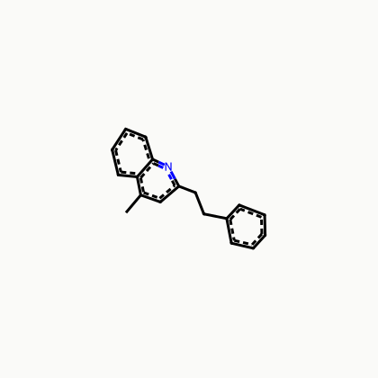 Cc1cc(CCc2ccccc2)nc2ccccc12